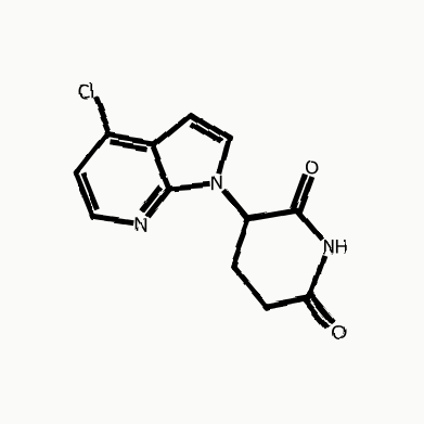 O=C1CCC(n2ccc3c(Cl)ccnc32)C(=O)N1